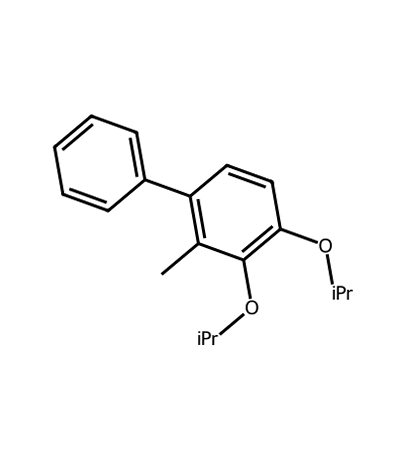 Cc1c(-c2ccccc2)ccc(OC(C)C)c1OC(C)C